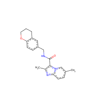 Cc1ccc2nc(C)c(C(=O)NCc3ccc4c(c3)CCCO4)n2c1